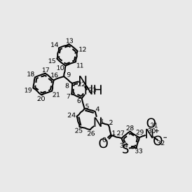 O=C(CN1C=C(c2cc(C(c3ccccc3)c3ccccc3)n[nH]2)C=CC1)c1cc([N+](=O)[O-])cs1